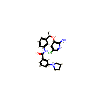 C[C@@H](Oc1cc(Cl)cnc1N)c1cccc(NC(=O)c2cccc(N3CCCC3)c2)c1